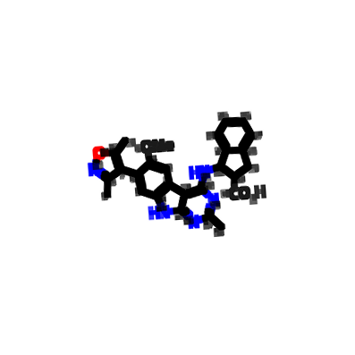 COc1cc2c(cc1-c1c(C)noc1C)[nH]c1nc(C)nc(NC3c4ccccc4CC3C(=O)O)c12